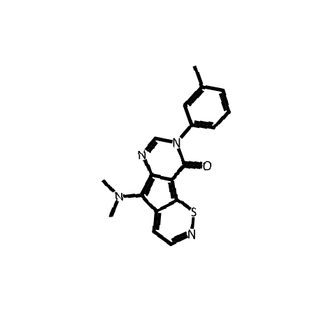 Cc1cccc(-n2cnc3c(N(C)C)c4ccnsc-4c3c2=O)c1